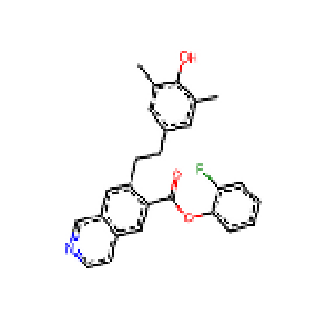 Cc1cc(CCc2cc3cnccc3cc2C(=O)Oc2ccccc2F)cc(C)c1O